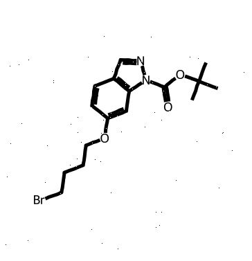 CC(C)(C)OC(=O)n1ncc2ccc(OCCCCBr)cc21